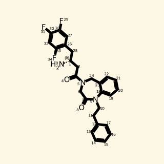 N[C@@H](CC(=O)N1CC(=O)N(CCc2ccccc2)c2ccccc2C1)Cc1cc(F)c(F)cc1F